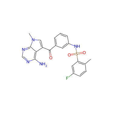 Cc1ccc(F)cc1S(=O)(=O)Nc1cccc(C(=O)c2cn(C)c3ncnc(N)c23)c1